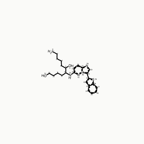 NCCCCC(O)C(CCCCO)Nc1ccc2ncc(-c3cc4ccccc4s3)n2n1